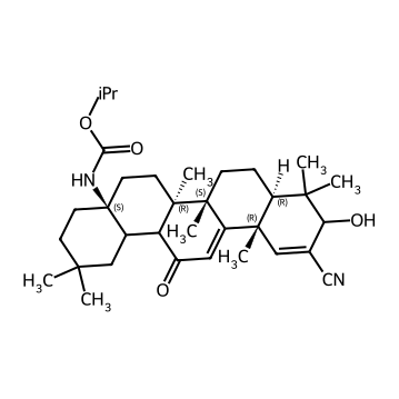 CC(C)OC(=O)N[C@]12CCC(C)(C)CC1C1C(=O)C=C3[C@@]4(C)C=C(C#N)C(O)C(C)(C)[C@@H]4CC[C@@]3(C)[C@]1(C)CC2